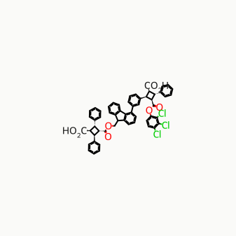 O=C(O)[C@@H]1[C@H](c2ccccc2)[C@@H](C(=O)Oc2ccc(Cl)c(Cl)c2Cl)[C@H]1c1cccc(-c2cccc3c2-c2ccccc2C3COC(=O)[C@H]2[C@@H](c3ccccc3)[C@H](C(=O)O)[C@@H]2c2ccccc2)c1